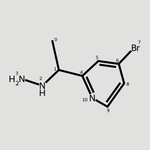 CC(NN)c1cc(Br)ccn1